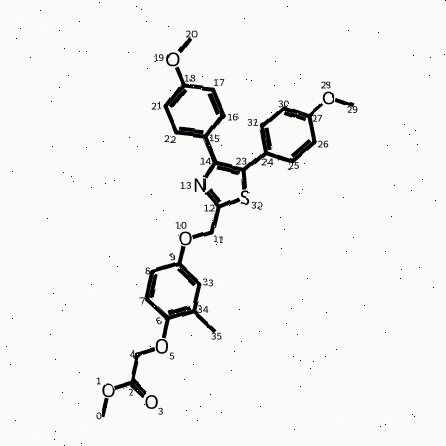 COC(=O)COc1ccc(OCc2nc(-c3ccc(OC)cc3)c(-c3ccc(OC)cc3)s2)cc1C